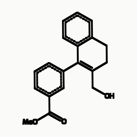 COC(=O)c1cccc(C2=C(CO)CCc3ccccc32)c1